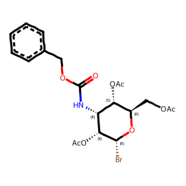 CC(=O)OC[C@H]1O[C@H](Br)[C@H](OC(C)=O)[C@H](NC(=O)OCc2ccccc2)[C@@H]1OC(C)=O